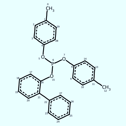 Cc1ccc(OP(Oc2ccc(C)cc2)Oc2ccccc2-c2ccccc2)cc1